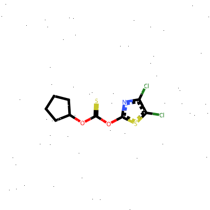 S=C(Oc1nc(Cl)c(Cl)s1)OC1CCCC1